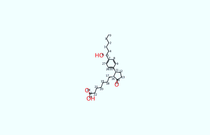 CCCCC[C@@H](O)c1ccc([C@H]2CCC(=O)[C@H]2CCCCCCC(=O)O)cc1